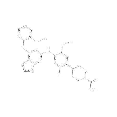 CNC(=O)C1CCC(c2cc(OC(C)C)c(Nc3nc(Nc4ccccc4SC(C)C)c4cc[nH]c4n3)cc2C)CN1